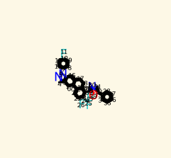 C[C@]12Cc3cnn(-c4ccc(F)cc4)c3C=C1CC[C@H]1C2=CC[C@@H](C(F)(F)F)[C@@H]1c1ncc(-c2ccccc2)o1